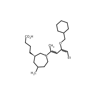 CC/C=C(\C=C(/C)N1CCC(C)C[C@@H](CCCC(=O)O)C1)OCC1CCCCC1